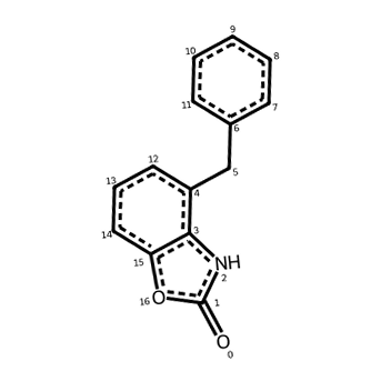 O=c1[nH]c2c(Cc3ccccc3)cccc2o1